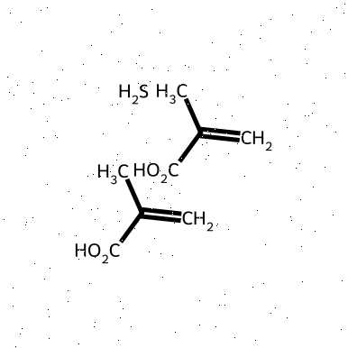 C=C(C)C(=O)O.C=C(C)C(=O)O.S